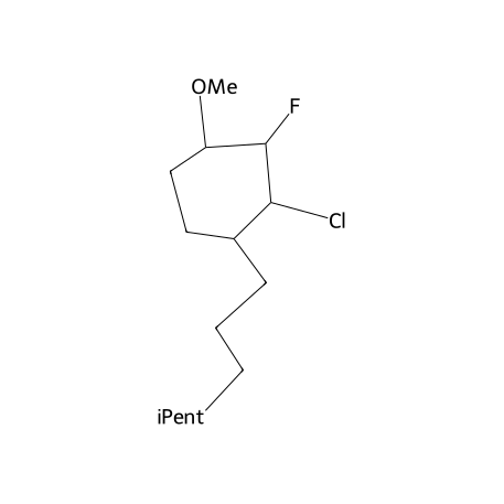 CCCC(C)CCCC1CCC(OC)C(F)C1Cl